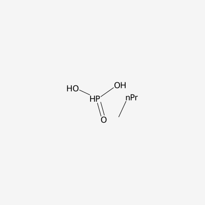 CCCC.O=[PH](O)O